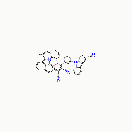 C=C/C(=C(\C=C/C)c1ccc(C#N)c(C#N)c1-c1cccc(-n2c3ccccc3c3cc(C#N)ccc32)c1)n1c(C(=C)C)c(/C=C\C)c2ccccc21